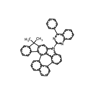 CC1(C)c2ccccc2-c2c1cc1c3c2-c2cccc4cccc(c24)-c2cccc(c23)n1-c1nc(-c2ccccc2)c2ccccc2n1